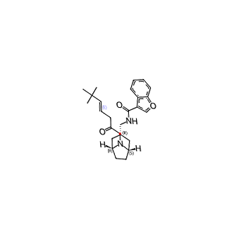 CC(C)(C)/C=C/CC(=O)CN1[C@@H]2CC[C@H]1C[C@@H](CNC(=O)c1coc3ccccc13)C2